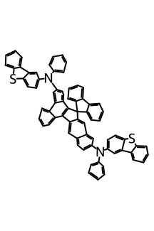 c1ccc(N(c2ccc3cc4c(cc3c2)C2(c3ccccc3-c3ccccc32)c2c-4c3ccccc3c3cc(N(c4ccccc4)c4ccc5sc6ccccc6c5c4)ccc23)c2ccc3sc4ccccc4c3c2)cc1